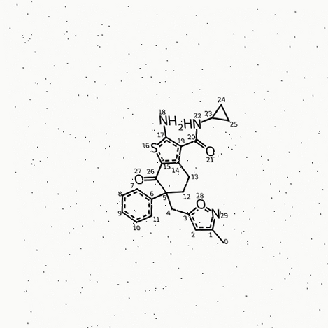 Cc1cc(CC2(c3ccccc3)CCc3c(sc(N)c3C(=O)NC3CC3)C2=O)on1